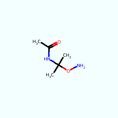 CC(=O)NC(C)(C)ON